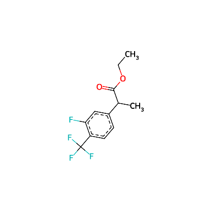 CCOC(=O)C(C)c1ccc(C(F)(F)F)c(F)c1